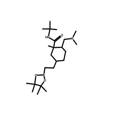 CN(C)CC1CCC(CCB2OC(C)(C)C(C)(C)O2)CC1(C)C(=O)NC(C)(C)C